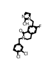 Cc1nccn1Cc1cc2c(cc1F)CCN(Cc1ccc(Cl)c(Cl)c1)C2=O